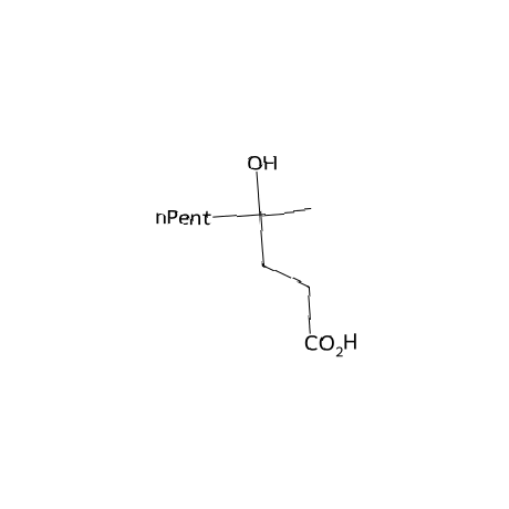 CCCCCC(C)(O)CCC(=O)O